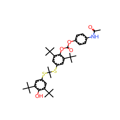 CC(=O)Nc1ccc(OC(=O)Oc2c(C(C)(C)C)cc(SC(C)(C)Sc3cc(C(C)(C)C)c(O)c(C(C)(C)C)c3)cc2C(C)(C)C)cc1